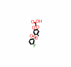 Cc1cc2c(cc1S(=O)(=O)c1cccc(F)c1)OC(C(=O)O)O2